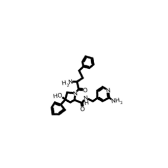 Nc1cc(CNC(=O)C2CC(O)(c3ccccc3)CN2C(=O)C(N)CCc2ccccc2)ccn1